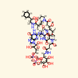 CC[C@H](C)[C@@H]([C@@H](CC(=O)N1CCC[C@H]1[C@H](OC)[C@@H](C)C(=O)N[C@H](C)[C@@H](O)c1ccccc1)OC)N(C)C(=O)C(NC(=O)C(C(C)C)N(C)C(=O)CCC(=O)NCC1OC(OP(=O)(O)OP(=O)(O)OCC2OC(O)(n3cnc4c(=O)[nH]c(N)nc43)[C@H]2O)C(O)C(O)C1O)C(C)C